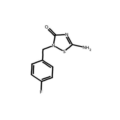 Nc1nc(=O)n(Cc2ccc(F)cc2)s1